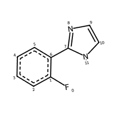 Fc1ccccc1C1=NC=C[N]1